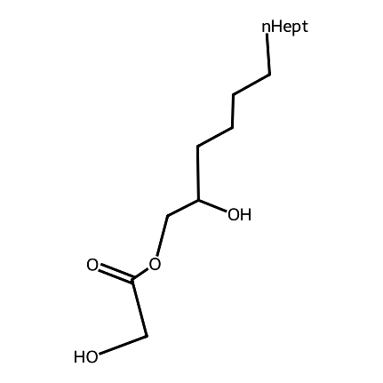 CCCCCCCCCCCC(O)COC(=O)CO